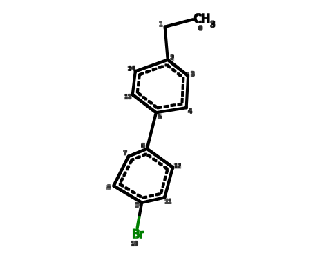 CCc1[c]cc(-c2ccc(Br)cc2)cc1